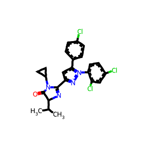 CC(C)C1N=C(c2cc(-c3ccc(Cl)cc3)n(-c3ccc(Cl)cc3Cl)n2)N(C2CC2)C1=O